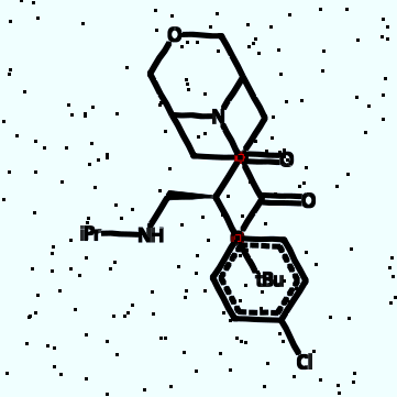 CC(C)NC[C@@H](C(=O)N1C2COCC1CN(C(=O)OC(C)(C)C)C2)c1ccc(Cl)cc1